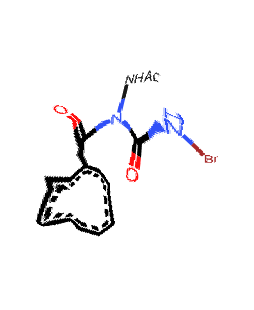 CC(=O)NN(C(=O)NBr)C(=O)c1ccccc1